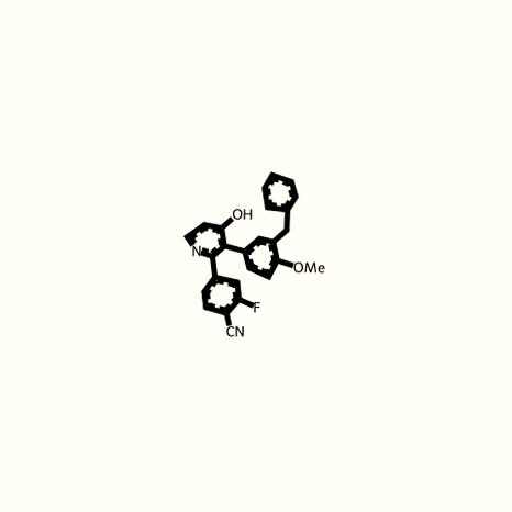 COc1ccc(-c2c(O)ccnc2-c2ccc(C#N)c(F)c2)cc1Cc1ccccc1